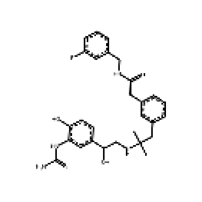 CC(C)(Cc1cccc(CC(=O)NCc2cccc(F)c2)c1)NCC(O)c1ccc(O)c(NC(N)=O)c1